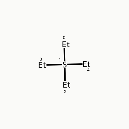 CCS(CC)(CC)CC